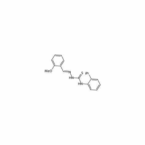 COc1ccccc1/C=N/NC(=S)Nc1ccccc1C(C)C